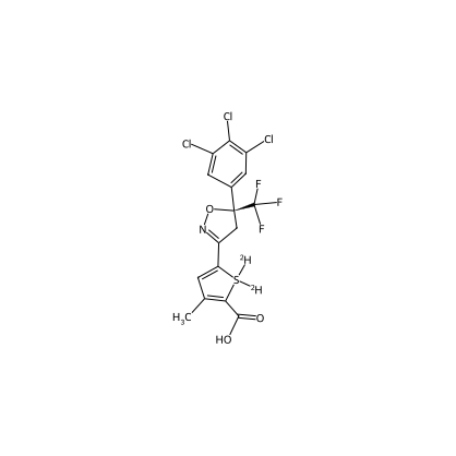 [2H]S1([2H])C(C2=NO[C@@](c3cc(Cl)c(Cl)c(Cl)c3)(C(F)(F)F)C2)=CC(C)=C1C(=O)O